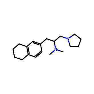 CN(C)C(Cc1ccc2c(c1)CCCC2)CN1CCCC1